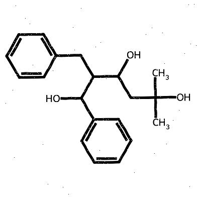 CC(C)(O)CC(O)C(Cc1ccccc1)C(O)c1ccccc1